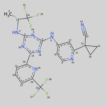 C[C@@H](Nc1nc(Nc2ccnc(C3(C#N)CC3)c2)nc(-c2cccc(C(F)(F)F)n2)n1)C(F)(F)F